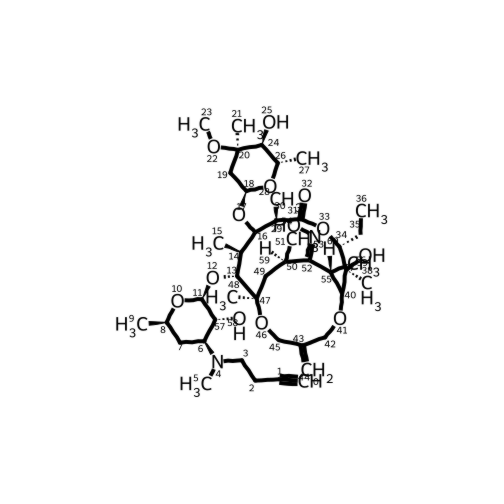 C#CCCN(C)[C@H]1C[C@@H](C)O[C@@H](O[C@@H]2[C@@H](C)C(O[C@H]3C[C@@](C)(OC)[C@@H](O)[C@H](C)O3)[C@@H](C)C(=O)O[C@H](CC)[C@@](C)(O)C3OCC(=C)CO[C@]2(C)C[C@@H](C)/C(=N\O)[C@@H]3C)[C@@H]1O